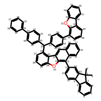 CC1(C)c2ccccc2-c2ccc(-c3c4ccccc4cc4c3oc3cccc(C(c5ccc(-c6ccccc6)cc5)c5ccc(-c6cccc7c6oc6ccccc67)cc5)c34)cc21